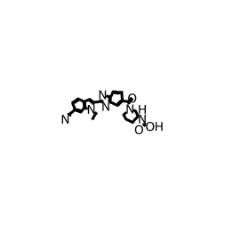 CCn1c(-c2nc3cc(C(=O)N4CCCC(NC(=O)O)C4)ccc3n2C)cc2ccc(C#N)cc21